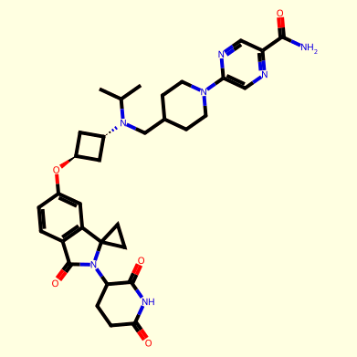 CC(C)N(CC1CCN(c2cnc(C(N)=O)cn2)CC1)[C@H]1C[C@H](Oc2ccc3c(c2)C2(CC2)N(C2CCC(=O)NC2=O)C3=O)C1